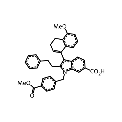 COC(=O)c1ccc(Cn2c(CCc3ccccc3)c(C3=CCCc4c(OC)cccc43)c3ccc(C(=O)O)cc32)cc1